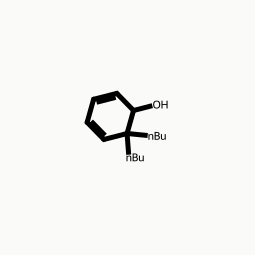 CCCCC1(CCCC)C=CC=CC1O